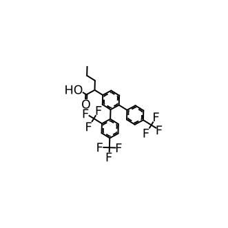 CCCC(C(=O)O)c1ccc(-c2ccc(C(F)(F)F)cc2)c(-c2ccc(C(F)(F)F)cc2C(F)(F)F)c1